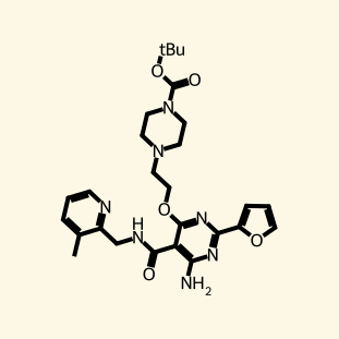 Cc1cccnc1CNC(=O)c1c(N)nc(-c2ccco2)nc1OCCN1CCN(C(=O)OC(C)(C)C)CC1